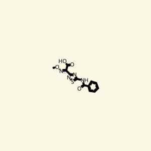 CO/N=C(\C(=O)O)c1nsc(NC(=O)c2ccccc2)n1